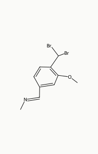 C/N=C/c1ccc(C(Br)Br)c(OC)c1